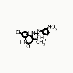 C=CC1=C(N/C(C)=N/c2cccc([N+](=O)[O-])c2)c2ccc(Cl)cc2NC(=O)C1